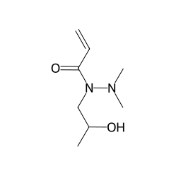 C=CC(=O)N(CC(C)O)N(C)C